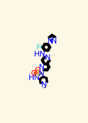 CN1CCC2C(C1)NS(=O)(=O)N2c1ccc2cnc(Nc3ccc(-n4cccn4)cc3F)cc2n1